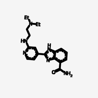 CCN(CC)CCNc1cc(-c2nc3c(C(N)=O)cccc3[nH]2)ccn1